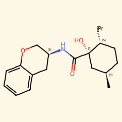 CC(C)[C@@H]1CC[C@@H](C)C[C@@]1(O)C(=O)N[C@@H]1COc2ccccc2C1